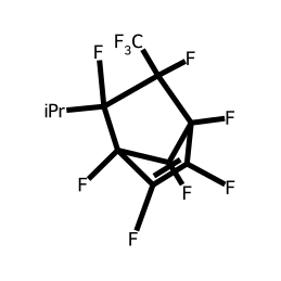 CC(C)C1(F)C2(F)C(F)=C(F)C(F)(C2F)C1(F)C(F)(F)F